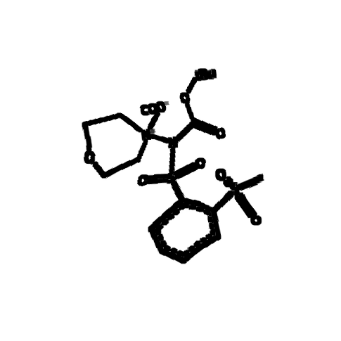 CC(C)(C)OC(=O)N([N+]1(C(=O)[O-])CCOCC1)S(=O)(=O)c1ccccc1S(C)(=O)=O